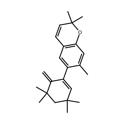 C=C1C(c2cc3c(cc2C)OC(C)(C)C=C3)=CC(C)(C)CC1(C)C